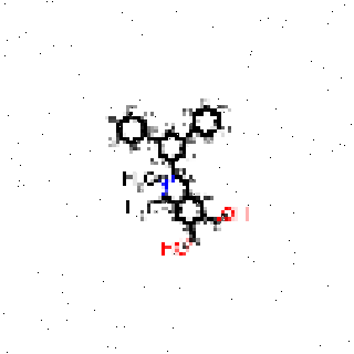 Cc1c2cc(CO)c(CO)cc2cc(-c2cc(-c3ccccc3)cc(-c3ccccc3)c2)[n+]1C